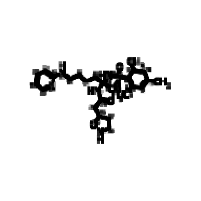 Cc1cc(C)c(S(=O)(=O)NC(CCCCNc2ccccn2)(NC(=O)CC2CCNO2)C(=O)O)c(C)c1